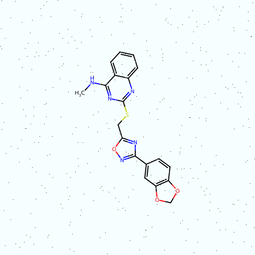 CNc1nc(SCc2nc(-c3ccc4c(c3)OCO4)no2)nc2ccccc12